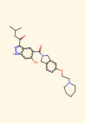 CC(C)CC(=O)c1n[nH]c2cc(O)c(C(=O)N3Cc4ccc(OCCN5CCCCC5)cc4C3)cc12